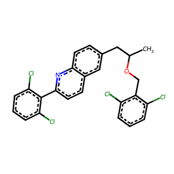 CC(Cc1ccc2nc(-c3c(Cl)cccc3Cl)ccc2c1)OCc1c(Cl)cccc1Cl